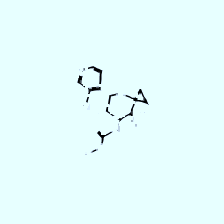 CC(C)(C)OC(=O)N[C@H]1C[C@H](c2ccncc2N)OC2(CC2)[C@@]1(C)O